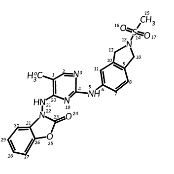 Cc1cnc(Nc2ccc3c(c2)CN(S(C)(=O)=O)C3)nc1Nn1c(=O)oc2ccccc21